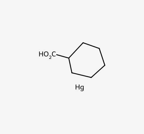 O=C(O)C1CCCCC1.[Hg]